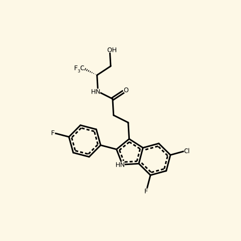 O=C(CCc1c(-c2ccc(F)cc2)[nH]c2c(F)cc(Cl)cc12)N[C@@H](CO)C(F)(F)F